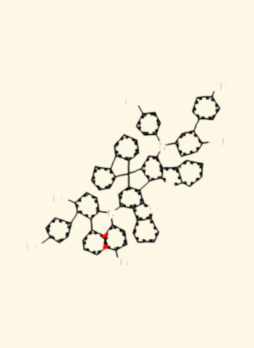 Cc1ccc(-c2cc(N(c3ccc(C(C)C)cc3)c3cc4c(c5oc6ccccc6c35)-c3c(cc(N(c5ccc(C(C)C)cc5)c5ccc(C)c(-c6ccc(C)cc6)c5-c5ccccc5)c5c3oc3ccccc35)C43c4ccccc4-c4ccccc43)ccc2C)cc1